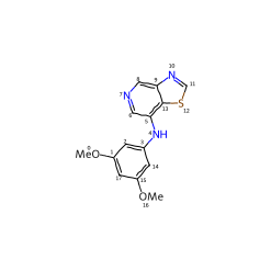 COc1cc(Nc2cncc3ncsc23)cc(OC)c1